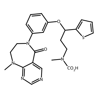 CN(CCC(Oc1cccc(N2CCN(C)c3ncncc3C2=O)c1)c1cccs1)C(=O)O